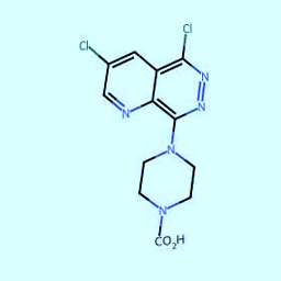 O=C(O)N1CCN(c2nnc(Cl)c3cc(Cl)cnc23)CC1